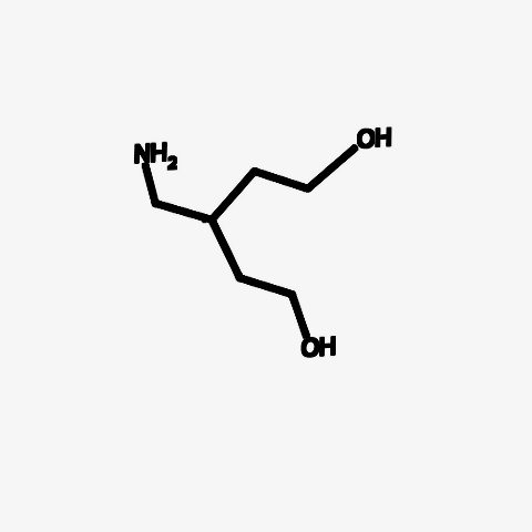 NC[C](CCO)CCO